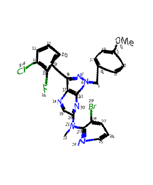 COc1ccc(Cn2nc(-c3cccc(Cl)c3F)c3ncc(N(C)c4ncccc4Br)nc32)cc1